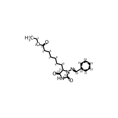 CCOC(=O)CCCCCCC1C(=O)NC(=O)N1N=Cc1ccccc1